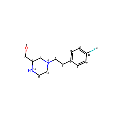 [O]CC1CN(CCc2ccc(F)cc2)CCN1